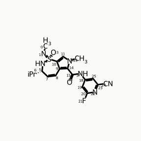 CN=S1(=O)N[C@@H](C(C)C)C=Cc2c1cn(C)c2C(=O)Nc1cc(F)nc(C#N)c1